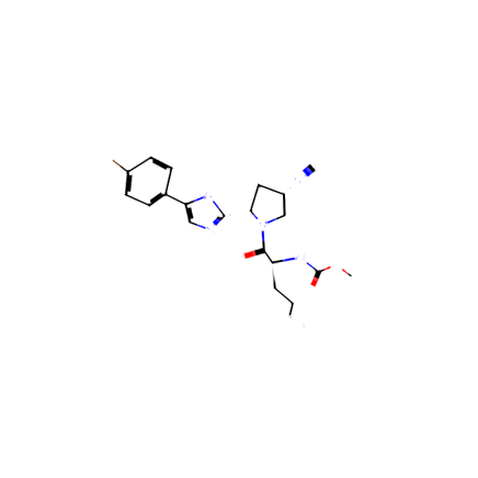 [C-]#[N+][C@H]1C[C@@H](c2ncc(-c3ccc(Br)cc3)[nH]2)N(C(=O)[C@H](CCC)NC(=O)OC)C1